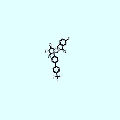 O=C1NC(=O)[C@@](CN2Cc3ccc(F)cc3C2=O)(c2ccc(-c3ccc(C(F)(F)F)cc3)cc2)N1